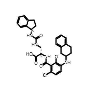 O=C(NC[C@H](NC(=O)c1c(Cl)ccc(NC2CCc3ccccc3C2)c1Cl)C(=O)O)N[C@@H]1CCc2ccccc21